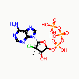 C[C@@]1(Cl)[C@H](O)C(OP(=O)(O)OP(=O)(O)OP(=O)(O)O)O[C@H]1n1cnc2c(N)ncnc21